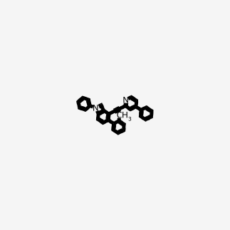 Cc1ccccc1-c1ccc2c(c1C#Cc1cc(-c3ccccc3)ccn1)C=[N+]2c1ccccc1